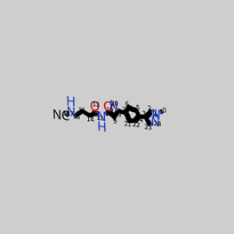 Cn1cc(-c2ccc(-c3cc(NC(=O)CCCNC#N)on3)cc2)cn1